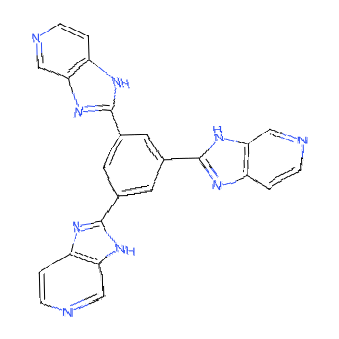 c1cc2[nH]c(-c3cc(-c4nc5ccncc5[nH]4)cc(-c4nc5ccncc5[nH]4)c3)nc2cn1